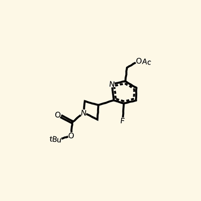 CC(=O)OCc1ccc(F)c(C2CN(C(=O)OC(C)(C)C)C2)n1